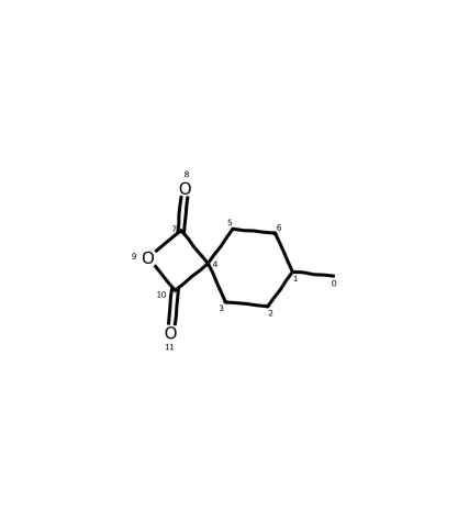 CC1CCC2(CC1)C(=O)OC2=O